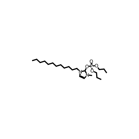 CCCCCCCCCCCCN1C=CN(C)C1OP(=O)(OCCC)OCCC